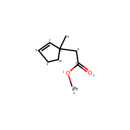 CC(C)OC(=O)CC1(C)C=CCC1